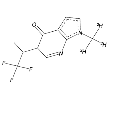 [2H]C([2H])([2H])n1ccc2c1N=CC(C(C)C(F)(F)F)C2=O